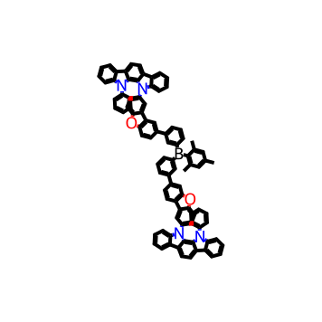 Cc1cc(C)c(B(c2cccc(-c3ccc4c(c3)oc3ccc(-n5c6ccccc6c6ccc7c8ccccc8n(-c8ccccc8)c7c65)cc34)c2)c2cccc(-c3ccc4oc5ccc(-n6c7ccccc7c7ccc8c9ccccc9n(-c9ccccc9)c8c76)cc5c4c3)c2)c(C)c1